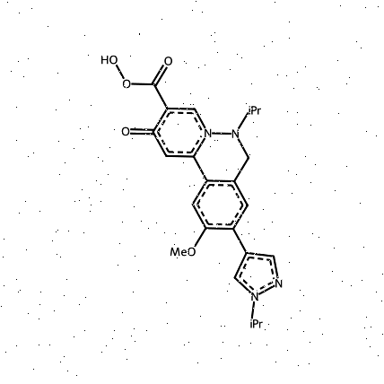 COc1cc2c(cc1-c1cnn(C(C)C)c1)CN(C(C)C)n1cc(C(=O)OO)c(=O)cc1-2